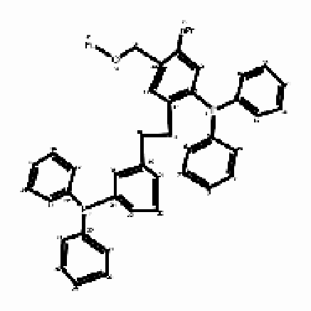 CCCc1cc(P(c2ccccc2)c2ccccc2)c(CCc2cccc(P(c3ccccc3)c3ccccc3)c2)cc1COCC